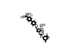 CC1CC(OC(=O)C[C@@H]2C[C@@H](COc3ccc(-c4ccc(C(=N)N)cc4)cc3)NC2=O)CC(C)(C)C1.Cl